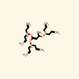 C=CC[SiH](CC=C)OC(=CC([SiH3])O[SiH](CC=C)CC=C)O[SiH](CC=C)CC=C